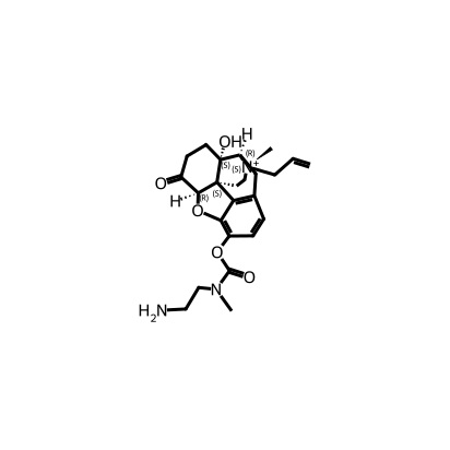 C=CC[N@+]1(C)CC[C@]23c4c5ccc(OC(=O)N(C)CCN)c4O[C@H]2C(=O)CC[C@@]3(O)[C@H]1C5